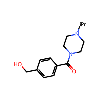 CC(C)N1CCN(C(=O)c2ccc(CO)cc2)CC1